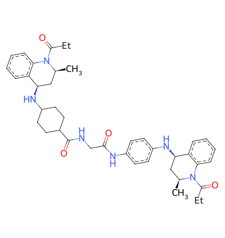 CCC(=O)N1c2ccccc2[C@H](Nc2ccc(NC(=O)CNC(=O)C3CCC(N[C@@H]4C[C@H](C)N(C(=O)CC)c5ccccc54)CC3)cc2)C[C@@H]1C